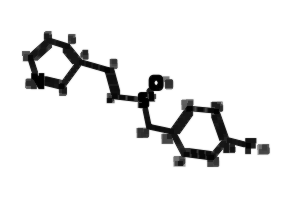 [O-][S+](C=Cc1cccnc1)Cc1ccc(F)cc1